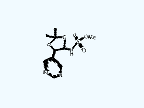 COS(=O)(=O)NC1OC(C)(C)OC1c1cncnc1